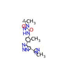 Cc1cc(-c2ncnn3cc(-c4cnn(C)c4)cc23)ccc1CNC(=O)c1noc(C2(C)CC2)n1